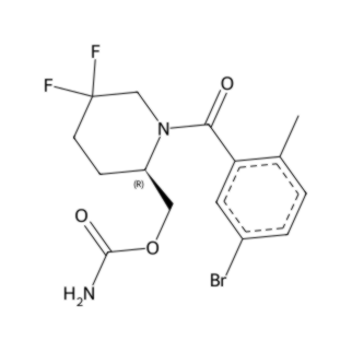 Cc1ccc(Br)cc1C(=O)N1CC(F)(F)CC[C@@H]1COC(N)=O